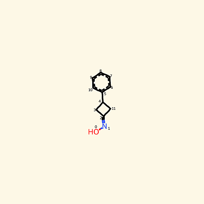 ON=C1CC(c2ccccc2)C1